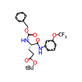 CC(C)(C)OC(=O)CC[C@H](NC(=O)OCc1ccccc1)C(=O)Nc1cccc(OC(F)(F)F)c1